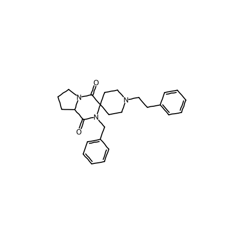 O=C1C2CCCN2C(=O)C2(CCN(CCc3ccccc3)CC2)N1Cc1ccccc1